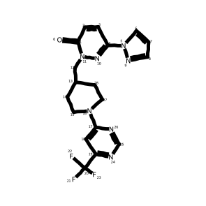 O=c1ccc(-n2cccn2)nn1CC1CCN(c2cc(C(F)(F)F)ncn2)CC1